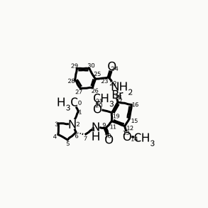 CCN1CCC[C@H]1CNC(=O)c1c(OC)ccc(Br)c1OC.NC(=O)c1ccccc1